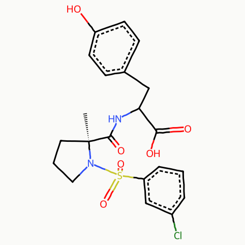 C[C@@]1(C(=O)NC(Cc2ccc(O)cc2)C(=O)O)CCCN1S(=O)(=O)c1cccc(Cl)c1